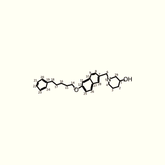 OC1CCCN(Cc2ccc3cc(OCCCCCc4ccccc4)ccc3c2)C1